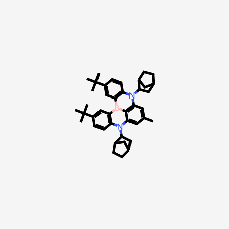 Cc1cc2c3c(c1)N(C1CC4CCC1C4)c1ccc(C(C)(C)C)cc1B3c1cc(C(C)(C)C)ccc1N2C1CC2CCC1C2